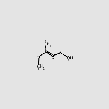 [CH2]CC(C)=CCO